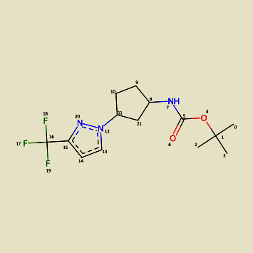 CC(C)(C)OC(=O)NC1CCC(n2ccc(C(F)(F)F)n2)C1